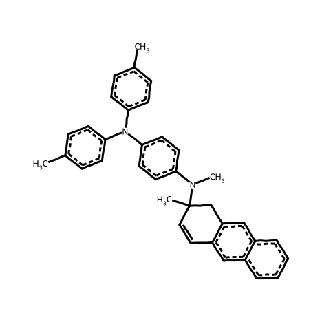 Cc1ccc(N(c2ccc(C)cc2)c2ccc(N(C)C3(C)C=Cc4cc5ccccc5cc4C3)cc2)cc1